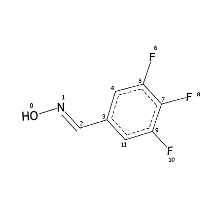 ON=Cc1cc(F)c(F)c(F)c1